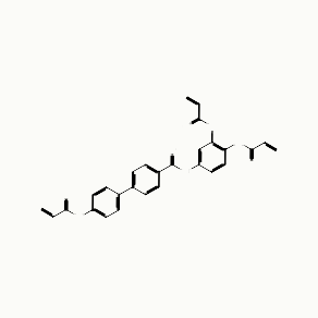 C=CC(=O)Oc1ccc(-c2ccc(C(=O)Oc3ccc(OC(=O)C=C)c(OC(=O)C=C)c3)cc2)cc1